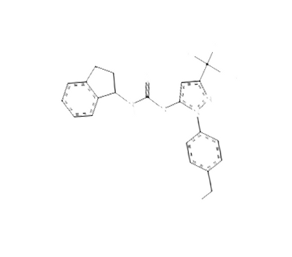 CC(C)(C)c1cc(NC(=O)NC2CCc3ccccc32)n(-c2ccc(CO)cc2)n1